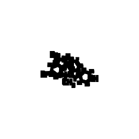 CC(OCC1(c2ccc(F)cc2)CCNCC1)c1cc(Br)cc2c(Br)n[nH]c12